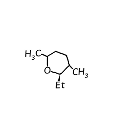 CC[C@H]1OC(C)CCC1C